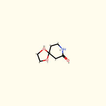 O=C1CC2(CCN1)OCCO2